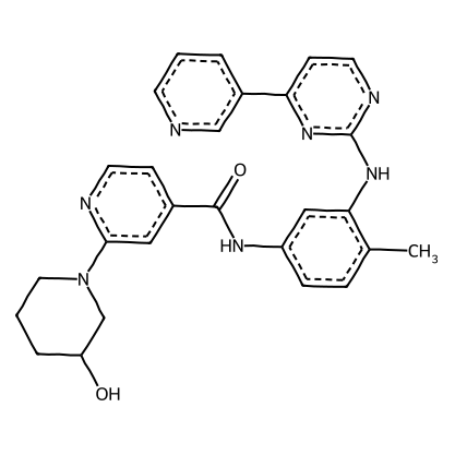 Cc1ccc(NC(=O)c2ccnc(N3CCCC(O)C3)c2)cc1Nc1nccc(-c2cccnc2)n1